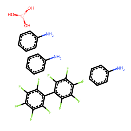 Fc1c(F)c(F)c(-c2c(F)c(F)c(F)c(F)c2F)c(F)c1F.Nc1ccccc1.Nc1ccccc1.Nc1ccccc1.OB(O)O